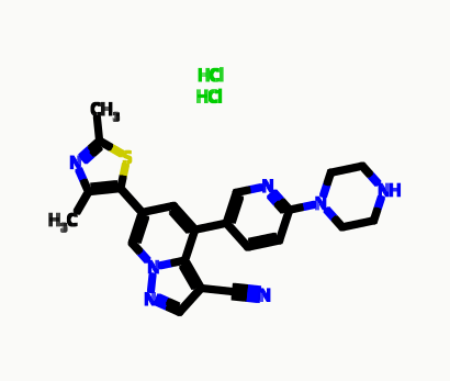 Cc1nc(C)c(-c2cc(-c3ccc(N4CCNCC4)nc3)c3c(C#N)cnn3c2)s1.Cl.Cl